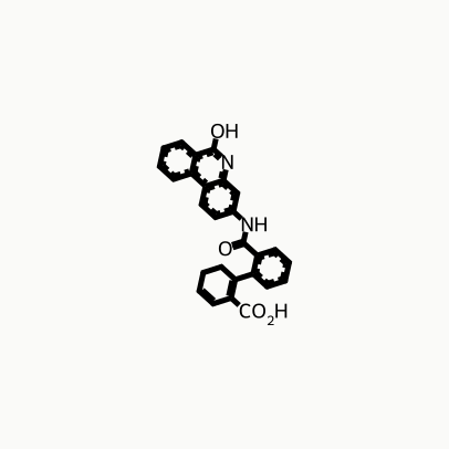 O=C(O)C1=C(c2ccccc2C(=O)Nc2ccc3c(c2)nc(O)c2ccccc23)CCC=C1